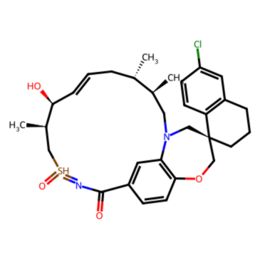 C[C@@H]1C/[SH](=O)=N\C(=O)c2ccc3c(c2)N(C[C@H](C)[C@@H](C)C/C=C/[C@@H]1O)C[C@@]1(CCCc2cc(Cl)ccc21)CO3